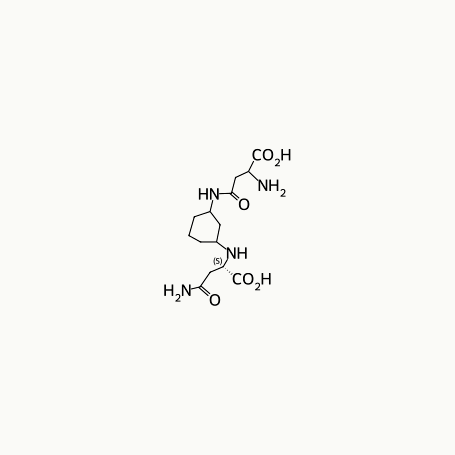 NC(=O)C[C@H](NC1CCCC(NC(=O)CC(N)C(=O)O)C1)C(=O)O